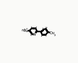 CCCCc1ccc(-c2ccc(C)cc2)nc1